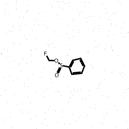 O=S(OCF)c1ccccc1